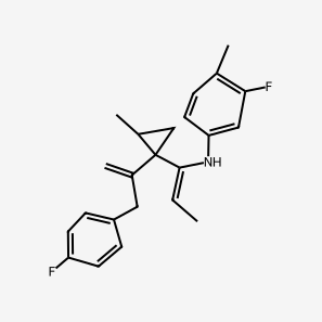 C=C(Cc1ccc(F)cc1)C1(/C(=C/C)Nc2ccc(C)c(F)c2)CC1C